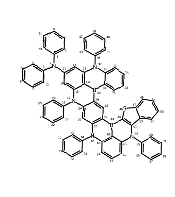 c1ccc(N(c2ccccc2)c2cc3c4c(c2)N(c2ccccc2)c2cc5c(cc2B4c2ccccc2N3c2ccccc2)B2c3sc4ccccc4c3N(c3ccccc3)c3cccc(c32)N5c2ccccc2)cc1